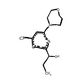 CCC(O)c1nc(Cl)cc(N2CCOCC2)n1